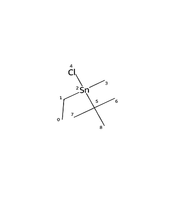 C[CH2][Sn]([CH3])([Cl])[C](C)(C)C